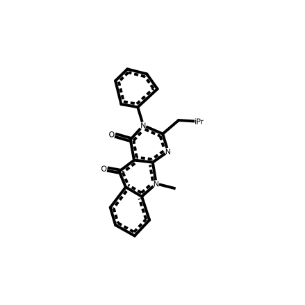 CC(C)Cc1nc2c(c(=O)c3ccccc3n2C)c(=O)n1-c1ccccc1